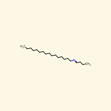 CCCC=NCCCCCCCCCCCCCCCC